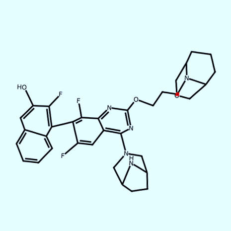 Oc1cc2ccccc2c(-c2c(F)cc3c(N4CC5CCC(C4)N5)nc(OCCCN4C5CCCC4COC5)nc3c2F)c1F